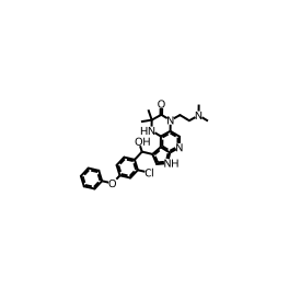 CN(C)CCN1C(=O)C(C)(C)Nc2c1cnc1[nH]cc(C(O)c3ccc(Oc4ccccc4)cc3Cl)c21